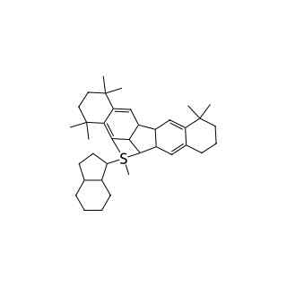 CC1(C)CCCC2=CC3C(C=C21)C1C=C2C(=C4C1C3S4(C)C1CCC3CCCCC31)C(C)(C)CCC2(C)C